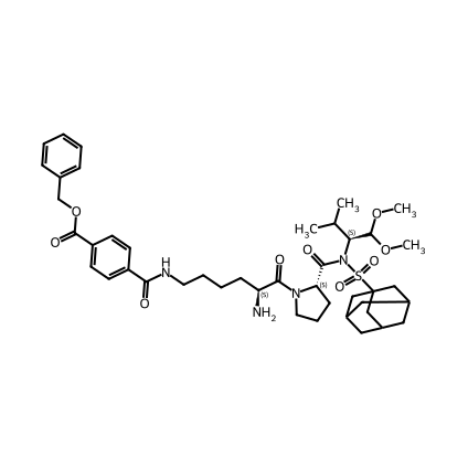 COC(OC)[C@H](C(C)C)N(C(=O)[C@@H]1CCCN1C(=O)[C@@H](N)CCCCNC(=O)c1ccc(C(=O)OCc2ccccc2)cc1)S(=O)(=O)C12CC3CC(CC(C3)C1)C2